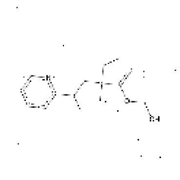 CCC(C)(CC(C)c1ccccn1)C(=O)OCO